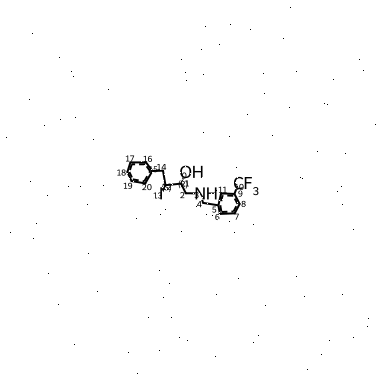 O[C@H](CNCc1cccc(C(F)(F)F)c1)[C@@H](I)Cc1ccccc1